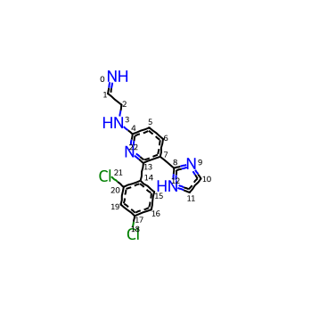 N=CCNc1ccc(-c2ncc[nH]2)c(-c2ccc(Cl)cc2Cl)n1